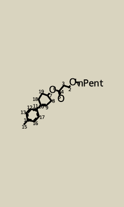 CCCCCOCCC(=O)OC1CC=C(c2ccc(C)cc2)CC1